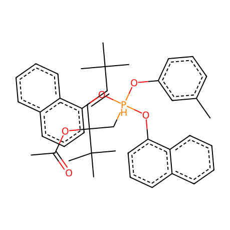 CC(=O)OC(C=CC(C)(C)C)(C[PH](Oc1cccc(C)c1)(Oc1cccc2ccccc12)Oc1cccc2ccccc12)C(C)(C)C